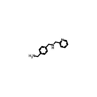 NCc1ccc(CNCc2ccccn2)cc1